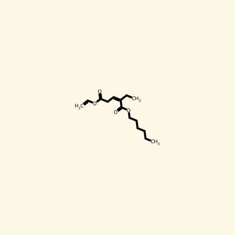 C=COC(=O)CC=C(CC)C(=O)OCCCCCC